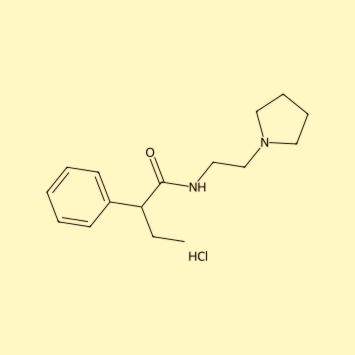 CCC(C(=O)NCCN1CCCC1)c1ccccc1.Cl